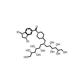 CCN1CN(CC)c2cc(C(=O)N3CCC(CN(C[C@H](O)[C@@H](O)[C@H](O)[C@H](O)CO)C[C@H](O)[C@@H](O)[C@H](O)[C@H](O)CO)CC3)ccc21